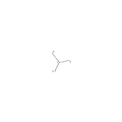 CC(C)C